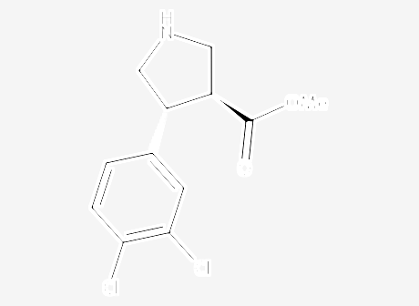 COC(=O)[C@@H]1CNC[C@H]1c1ccc(Cl)c(Cl)c1